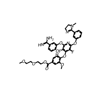 COCCOCCOC(=O)c1ccc(Oc2c(F)c(Oc3cccc(C4=NCCN4C)c3)nc(Oc3cc(C(=N)N)ccc3O)c2F)c(OC)c1